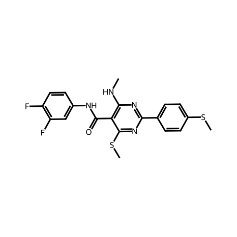 CNc1nc(-c2ccc(SC)cc2)nc(SC)c1C(=O)Nc1ccc(F)c(F)c1